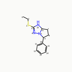 CCSC1=NN2C(CCC2c2ccccc2)N1